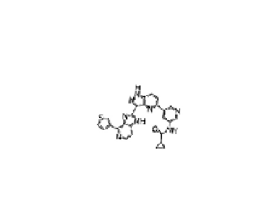 O=C(Nc1cncc(-c2ccc3[nH]nc(-c4nc5c(-c6ccsc6)nccc5[nH]4)c3n2)c1)C1CC1